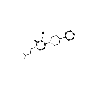 [C-]#[N+]c1c(N2CCC(c3ccccc3)CC2)ccn(CCC(C)C)c1=O